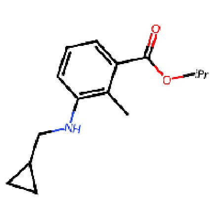 Cc1c(NCC2CC2)cccc1C(=O)OC(C)C